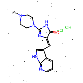 CC(C)N1CCN(C2=N/C(=C\c3c[nH]c4ncccc34)C(=O)N2)CC1.Cl.Cl